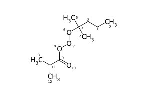 CCCC(C)(C)OOOC(=O)C(C)C